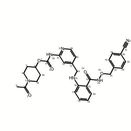 CC(=O)N1CCC(OC(=O)Nc2cc(CNc3ccccc3C(=O)NOCc3ccc(C#N)cc3)ccn2)CC1